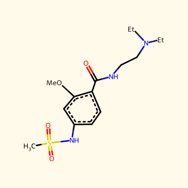 CCN(CC)CCNC(=O)c1ccc(NS(C)(=O)=O)cc1OC